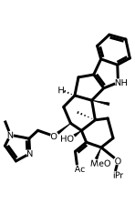 CO[C@]1(OC(C)C)CC[C@]2(C)[C@@]3(C)c4[nH]c5ccccc5c4C[C@@H]3C[C@H](OCc3nccn3C)[C@@]2(O)/C1=C/C(C)=O